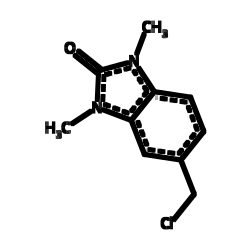 Cn1c(=O)n(C)c2cc(CCl)ccc21